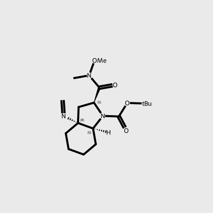 C=N[C@@]12CCCC[C@@H]1N(C(=O)OC(C)(C)C)[C@H](C(=O)N(C)OC)C2